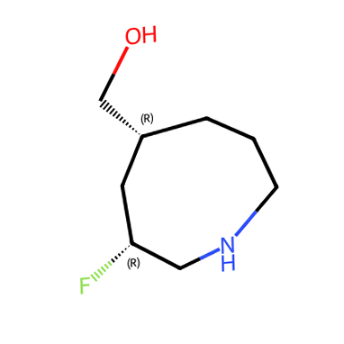 OC[C@@H]1CCCNC[C@H](F)C1